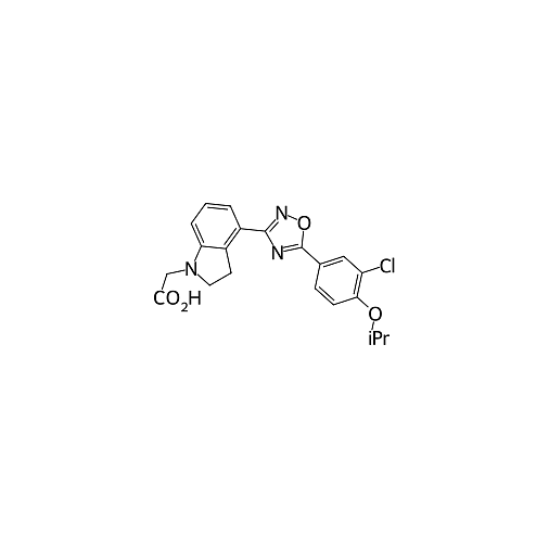 CC(C)Oc1ccc(-c2nc(-c3cccc4c3CCN4CC(=O)O)no2)cc1Cl